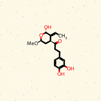 C/C=C1\[C@@H](C(=O)CCc2ccc(O)c(O)c2)C[C@@H](OC)O[C@@H]1O